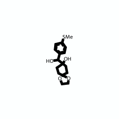 CSc1ccc(C(O)C2(O)CCC3(CC2)OCCO3)cc1